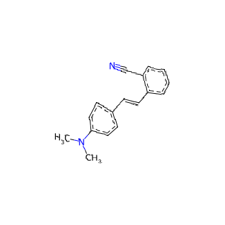 CN(C)c1ccc(C=Cc2ccccc2C#N)cc1